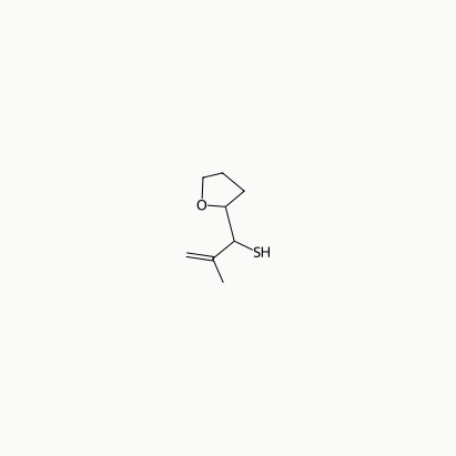 C=C(C)C(S)C1CCCO1